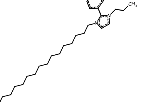 CCCCCCCCCCCCCCCC[n+]1ccn(CCC)c1-c1ccccc1